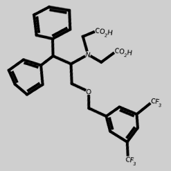 O=C(O)CN(CC(=O)O)C(COCc1cc(C(F)(F)F)cc(C(F)(F)F)c1)C(c1ccccc1)c1ccccc1